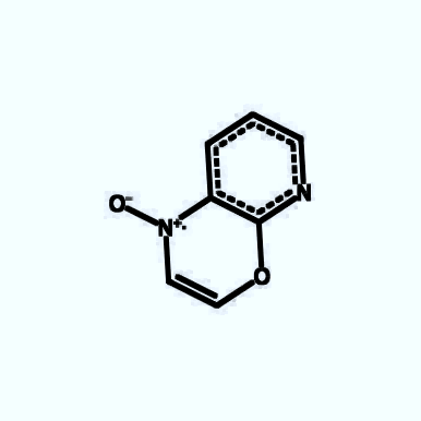 [O-][N+]1C=COc2ncccc21